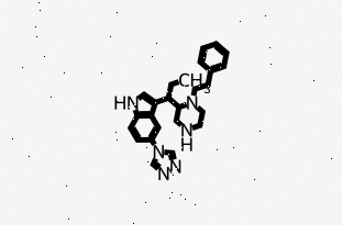 CCC(c1c[nH]c2ccc(-n3cnnc3)cc12)C1CNCCN1CCc1ccccc1